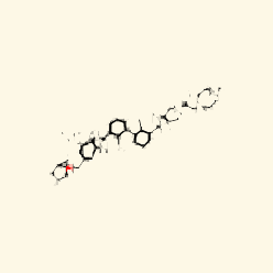 Cc1c(-c2nc3c(o2)CN(C(=O)CN2CCN(C)CC2)C3)cccc1-c1cccc(-c2nc3cc(CN4CC5CCC4C5)cc(C#N)c3o2)c1C